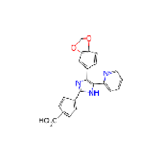 O=C(O)c1ccc(-c2nc(-c3ccc4c(c3)OCO4)c(-c3ccccn3)[nH]2)cc1